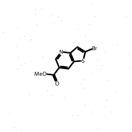 COC(=O)c1cnc2cc(Br)sc2c1